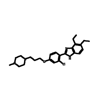 CCc1ccc2[nH]c(-c3ccc(OCCCN4CCN(C)CC4)cc3Cl)nc2c1CC